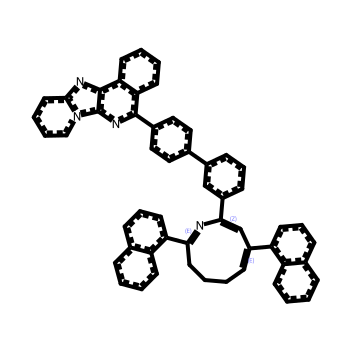 C1=C(c2cccc(-c3ccc(-c4nc5c(nc6ccccn65)c5ccccc45)cc3)c2)\N=C(\c2cccc3ccccc23)CCC\C=C/1c1cccc2ccccc12